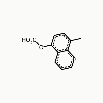 Cc1ccc(OC(=O)O)c2cccnc12